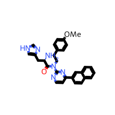 COc1ccc(CCN(C(=O)[C@@H](N)Cc2c[nH]cn2)c2nccc(-c3ccc4ccccc4c3)n2)cc1